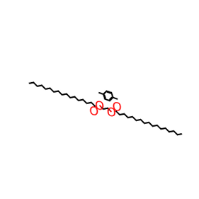 CCCCCCCCCCCCCCCCC(=O)OCCOC(=O)CCCCCCCCCCCCCCCC.Cc1ccc(C)cc1